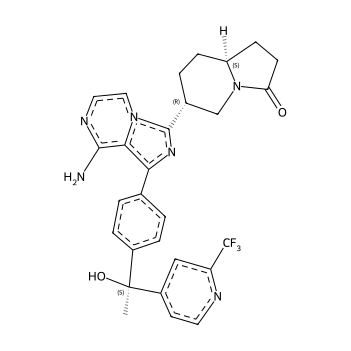 C[C@](O)(c1ccc(-c2nc([C@@H]3CC[C@H]4CCC(=O)N4C3)n3ccnc(N)c23)cc1)c1ccnc(C(F)(F)F)c1